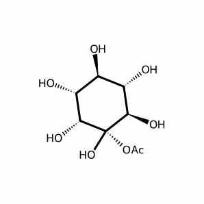 CC(=O)O[C@]1(O)[C@H](O)[C@H](O)[C@@H](O)[C@H](O)[C@H]1O